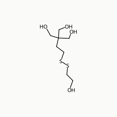 OCCSSCCC(CO)(CO)CO